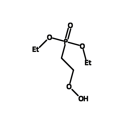 CCOP(=O)(CCOO)OCC